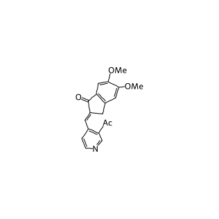 COc1cc2c(cc1OC)C(=O)/C(=C/c1ccncc1C(C)=O)C2